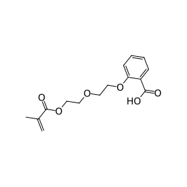 C=C(C)C(=O)OCCOCCOc1ccccc1C(=O)O